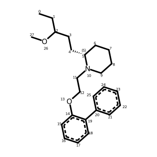 CCC(CC[C@@H]1CCCCN1CCOc1ccccc1-c1ccccc1)OC